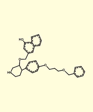 Oc1cc(COC2CNCCC2c2ccc(OCCCOCc3ccccc3)cc2)cc2ccccc12